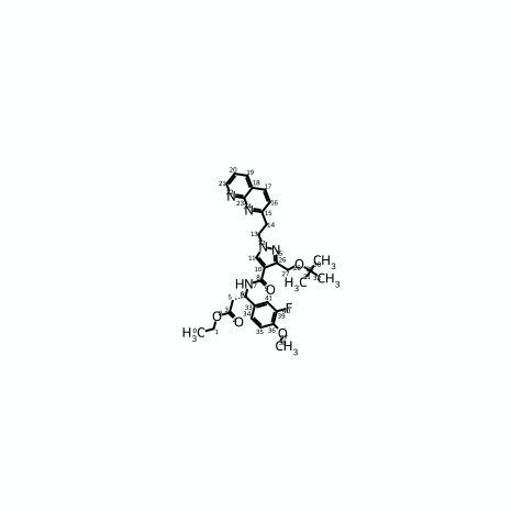 CCOC(=O)C[C@H](NC(=O)c1cn(CCc2ccc3cccnc3n2)nc1COC(C)(C)C)c1ccc(OC)c(F)c1